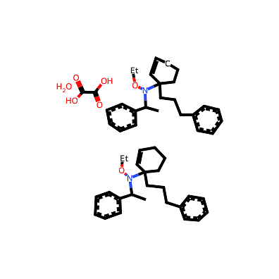 CCON(C(C)c1ccccc1)C1(CCCc2ccccc2)C=CCCC1.CCON(C(C)c1ccccc1)C1(CCCc2ccccc2)C=CCCC1.O.O=C(O)C(=O)O